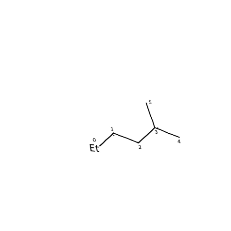 CC[CH]C[C](C)C